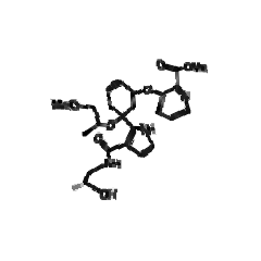 COC[C@H](C)OC1(c2[nH]ccc2C(=O)NC[C@@H](C)O)C=C(Oc2cccnc2C(=O)OC)C=CC1